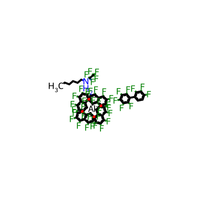 CCCCCC[NH2+]C(F)(F)C(F)(F)F.Fc1c(F)c(F)c2[c]([Al-]([c]3c(F)c(F)c(F)c4c(F)c(F)c(F)c(F)c34)([c]3c(F)c(F)c(F)c4c(F)c(F)c(F)c(F)c34)[c]3c(F)c(F)c(F)c4c(F)c(F)c(F)c(F)c34)c(F)c(F)c(F)c2c1F.Fc1ccc(-c2c(F)c(F)c(F)c(F)c2F)c(F)c1F